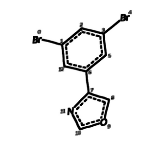 Brc1[c]c(Br)cc(-c2cocn2)c1